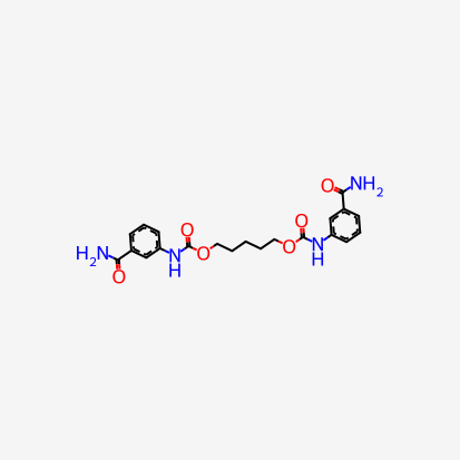 NC(=O)c1cccc(NC(=O)OCCCCCOC(=O)Nc2cccc(C(N)=O)c2)c1